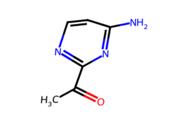 CC(=O)c1nccc(N)n1